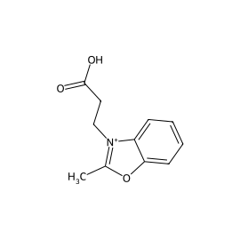 Cc1oc2ccccc2[n+]1CCC(=O)O